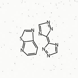 C1=NC(=C2N=CN=N2)N=N1.c1cnc2scnc2c1